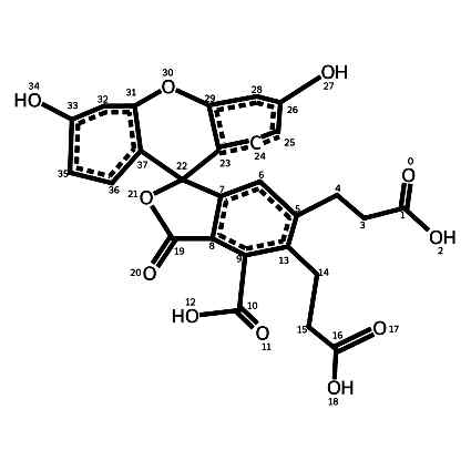 O=C(O)CCc1cc2c(c(C(=O)O)c1CCC(=O)O)C(=O)OC21c2ccc(O)cc2Oc2cc(O)ccc21